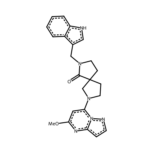 COc1cc(N2CCC3(CCN(Cc4c[nH]c5ccccc45)C3=O)C2)n2nccc2n1